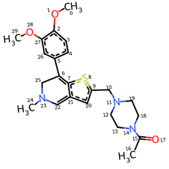 COc1ccc(C2=c3sc(CN4CCN(C(C)=O)CC4)cc3=CN(C)C2)cc1OC